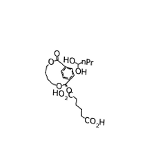 CCCC(O)O.O=C(O)CCCCC(=O)O.O=C1OCCCCOC(=O)c2ccc1cc2